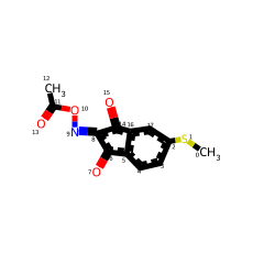 CSc1ccc2c(=O)/c(=N/OC(C)=O)c(=O)c2c1